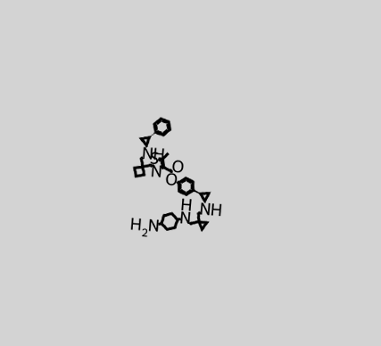 Cc1sc(C2(CN[C@H]3C[C@@H]3c3ccccc3)CCC2)nc1C(=O)Oc1ccc([C@H]2C[C@@H]2NCC2(CNC3CCC(N)CC3)CC2)cc1